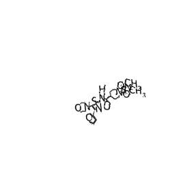 CN(C)S(=O)(=O)N1CCC(C(=O)Nc2nc(-c3ccco3)c(N3CCOCC3)s2)CC1